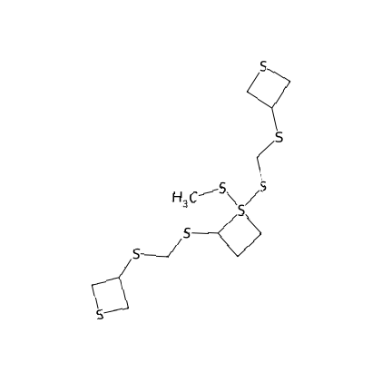 CSS1(SCSC2CSC2)CCC1SCSC1CSC1